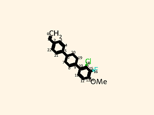 C=Cc1ccc(C2CC=C(c3ccc(OC)c(F)c3Cl)CC2)cc1